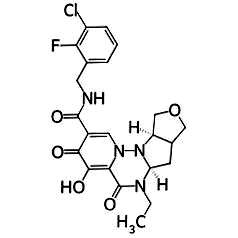 CCN1C(=O)c2c(O)c(=O)c(C(=O)NCc3cccc(Cl)c3F)cn2N2[C@H]3COCC3C[C@@H]12